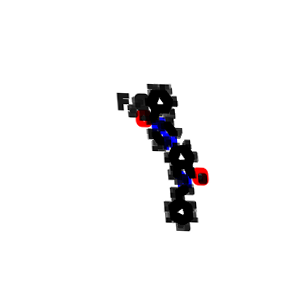 O=C1c2ccc(N3CCN(C(=O)c4ccccc4C(F)(F)F)CC3)cc2CN1CCc1ccccc1